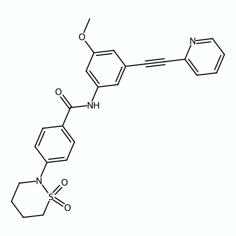 COc1cc(C#Cc2ccccn2)cc(NC(=O)c2ccc(N3CCCCS3(=O)=O)cc2)c1